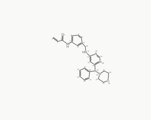 C=CC(=O)Nc1cccc(CNc2cc(N(c3ccccc3)N3CCOCC3)ncn2)c1